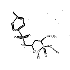 CCOC(=O)C(C[C@H](NS(=O)(=O)c1ccc(C)cc1)C(F)(F)F)P(=O)(OCC)OCC